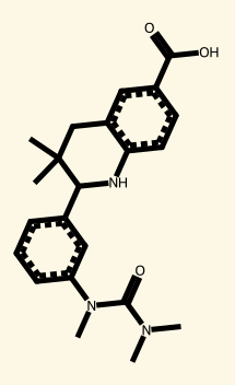 CN(C)C(=O)N(C)c1cccc(C2Nc3ccc(C(=O)O)cc3CC2(C)C)c1